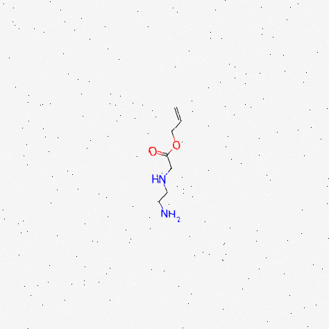 C=CCOC(=O)CNCCN